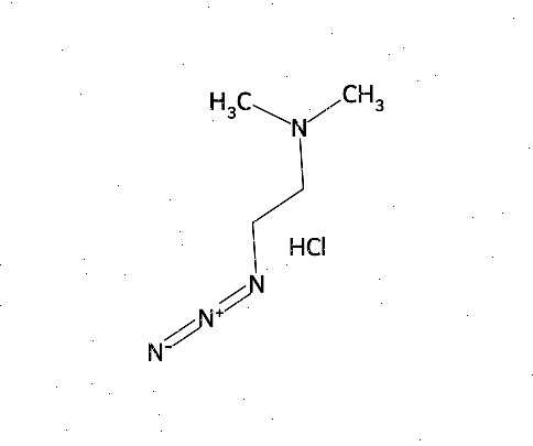 CN(C)CCN=[N+]=[N-].Cl